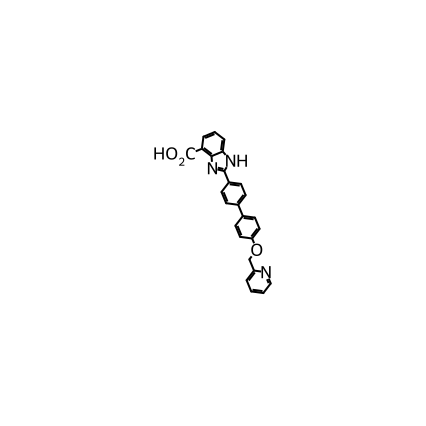 O=C(O)c1cccc2[nH]c(-c3ccc(-c4ccc(OCc5ccccn5)cc4)cc3)nc12